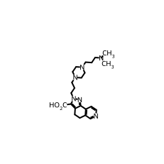 CN(C)CCCN1CCN(CCCn2nc3c(c2C(=O)O)CCc2cnccc2-3)CC1